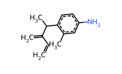 C=CC(=C)C(C)c1ccc(N)cc1C